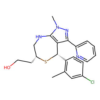 Cc1cc(Cl)ccc1[C@@H]1S[C@H](CCO)CNc2c1c(-c1ccccn1)nn2C